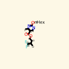 CCCCCCOc1ncc(C(=O)OCCC(C)=C(F)F)c(C)n1